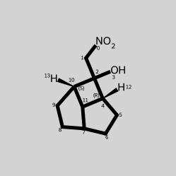 O=[N+]([O-])CC1(O)[C@@H]2CCC3CC[C@H]1C32